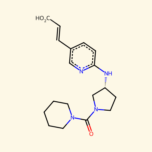 O=C(O)C=Cc1ccc(N[C@@H]2CCN(C(=O)N3CCCCC3)C2)nc1